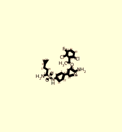 CC(Oc1cc(-c2ccc(NS(=O)(=O)C(N)CCC3CC3)cc2)cnc1N)c1c(Cl)ccc(F)c1Cl